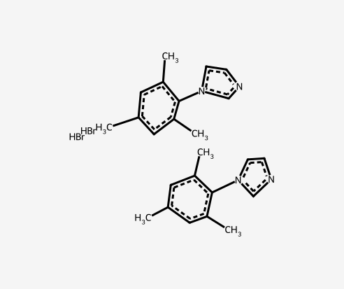 Br.Br.Cc1cc(C)c(-n2ccnc2)c(C)c1.Cc1cc(C)c(-n2ccnc2)c(C)c1